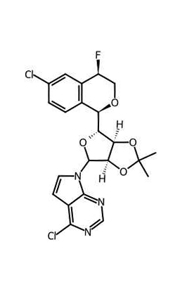 CC1(C)O[C@@H]2[C@@H]([C@@H]3OC[C@H](F)c4cc(Cl)ccc43)OC(n3ccc4c(Cl)ncnc43)[C@@H]2O1